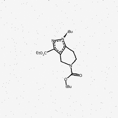 CCOC(=O)c1nn([C@H](C)CC)c2c1CN(C(=O)OC(C)(C)C)CC2